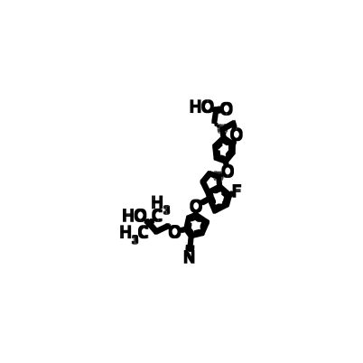 CC(C)(O)CCOc1cc(Oc2ccc(F)c3c2CC[C@H]3Oc2ccc3c(c2)OC[C@H]3CC(=O)O)ccc1C#N